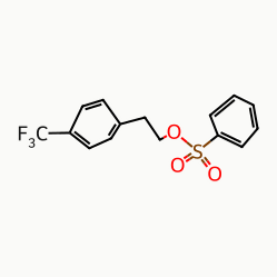 O=S(=O)(OCCc1ccc(C(F)(F)F)cc1)c1ccccc1